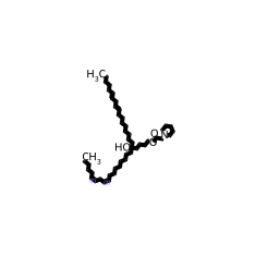 CCCCCC=CCC=CCCCCCCCCC(O)(CCCCCCCC/C=C\C/C=C\CCCCC)CCCCOC(=O)CN1CCCCC1